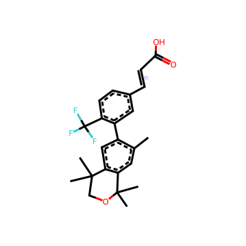 Cc1cc2c(cc1-c1cc(/C=C/C(=O)O)ccc1C(F)(F)F)C(C)(C)COC2(C)C